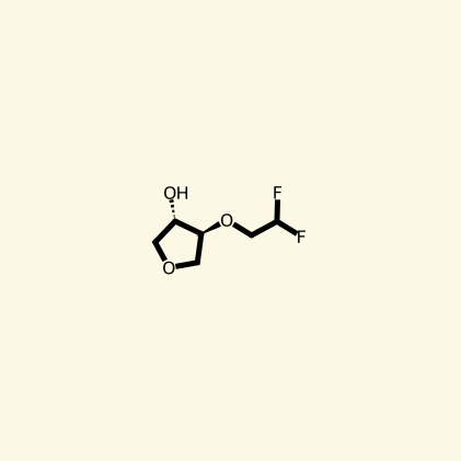 O[C@H]1COC[C@@H]1OCC(F)F